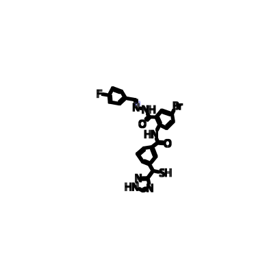 O=C(Nc1ccc(Br)cc1C(=O)N/N=C/c1ccc(F)cc1)c1cccc(C(S)c2nc[nH]n2)c1